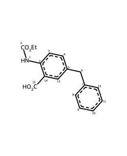 CCOC(=O)Nc1ccc(Cc2ccccc2)cc1C(=O)O